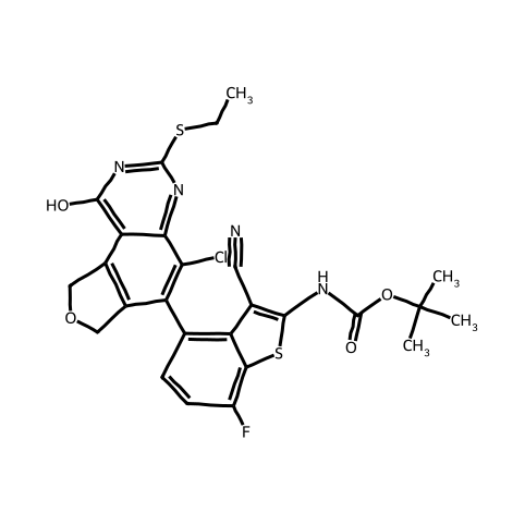 CCSc1nc(O)c2c3c(c(-c4ccc(F)c5sc(NC(=O)OC(C)(C)C)c(C#N)c45)c(Cl)c2n1)COC3